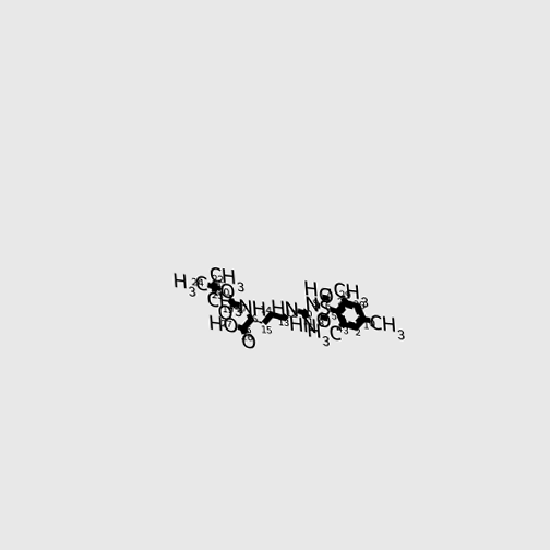 Cc1cc(C)c(S(=O)(=O)NC(=N)NCCC[C@@H](NC(=O)OC(C)(C)C)C(=O)O)c(C)c1